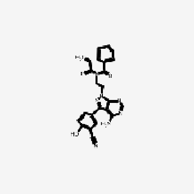 C=CC(=O)N(CCn1nc(-c2ccc(O)c(C#N)c2)c2c(N)ncnc21)C(=O)c1ccccc1